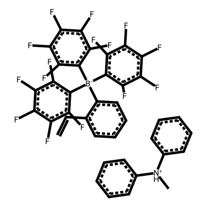 C=Cc1ccccc1[B-](c1c(F)c(F)c(F)c(F)c1F)(c1c(F)c(F)c(F)c(F)c1F)c1c(F)c(F)c(F)c(F)c1F.C[NH+](c1ccccc1)c1ccccc1